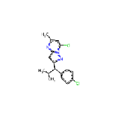 Cc1cc(Cl)n2nc(C(c3ccc(Cl)cc3)C(C)C)cc2n1